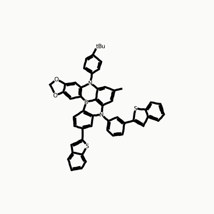 Cc1cc2c3c(c1)N(c1ccc(C(C)(C)C)cc1)c1cc4c(cc1B3c1ccc(-c3cc5ccccc5s3)cc1N2c1cccc(-c2cc3ccccc3s2)c1)OCO4